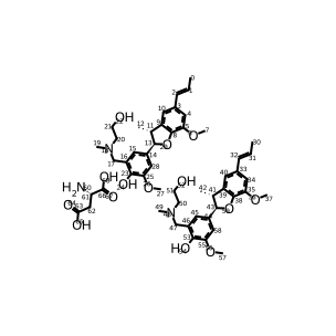 CC=Cc1cc(OC)c2c(c1)[C@@H](C)[C@H](c1cc(CN(C)CCO)c(O)c(OC)c1)O2.CC=Cc1cc(OC)c2c(c1)[C@@H](C)[C@H](c1cc(CN(C)CCO)c(O)c(OC)c1)O2.N[C@@H](CC(=O)O)C(=O)O